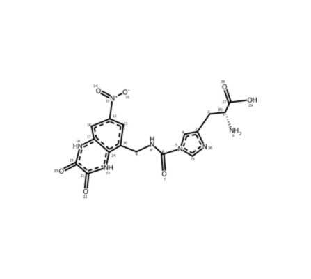 N[C@H](Cc1cn(C(=O)NCc2cc([N+](=O)[O-])cc3[nH]c(=O)c(=O)[nH]c23)cn1)C(=O)O